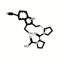 CCc1c(CC[C@@H]2CCCN2C(=O)[C@H]2CCCN2C(=O)O)[nH]c2ccc(C#N)cc12